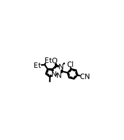 CCC(CC)c1cc(C)n2nc(-c3ccc(C#N)cc3Cl)n(C)c(=O)c12